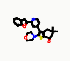 CC1(C)CC(=O)c2sc(N3CCOCC3)c(-c3ccnc(-c4cc5ccccc5o4)c3)c2C1